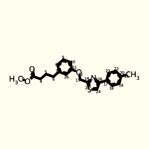 COC(=O)CCCc1cccc(OCc2nc(-c3ccc(C)cc3)cs2)c1